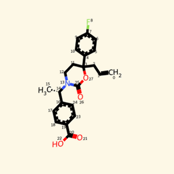 C=CCC1(c2ccc(F)cc2)CCN([C@@H](C)c2ccc(C(=O)O)cc2)C(=O)O1